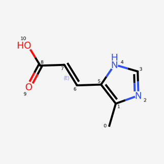 Cc1nc[nH]c1/C=C/C(=O)O